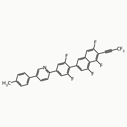 Cc1ccc(-c2ccc(-c3cc(F)c(-c4cc(F)c5c(F)c(C#CC(F)(F)F)c(F)cc5c4)c(F)c3)nc2)cc1